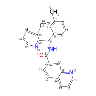 Cc1cccc([C@H](NC(=O)c2ccc3cccnc3c2)c2ncccc2C(F)(F)F)c1